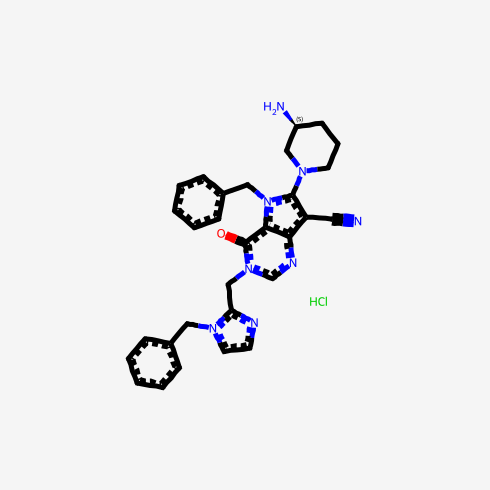 Cl.N#Cc1c(N2CCC[C@H](N)C2)n(Cc2ccccc2)c2c(=O)n(Cc3nccn3Cc3ccccc3)cnc12